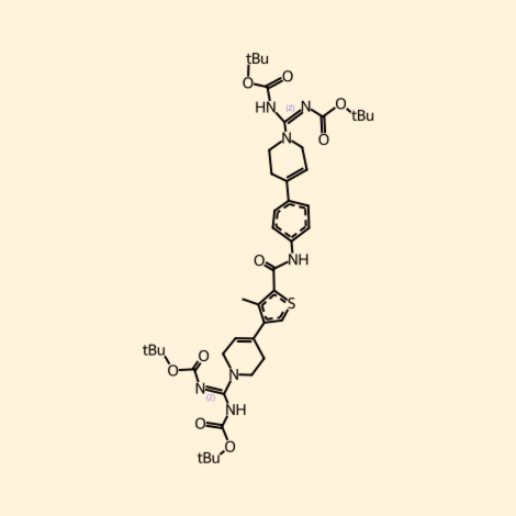 Cc1c(C2=CCN(/C(=N\C(=O)OC(C)(C)C)NC(=O)OC(C)(C)C)CC2)csc1C(=O)Nc1ccc(C2=CCN(/C(=N\C(=O)OC(C)(C)C)NC(=O)OC(C)(C)C)CC2)cc1